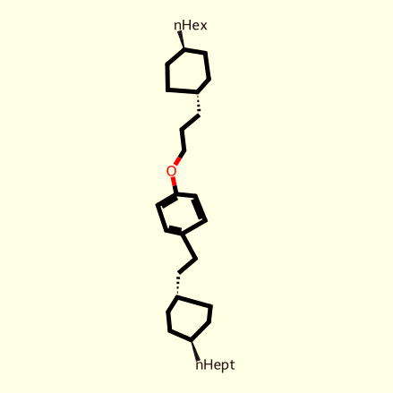 CCCCCCC[C@H]1CC[C@H](CCc2ccc(OCCC[C@H]3CC[C@H](CCCCCC)CC3)cc2)CC1